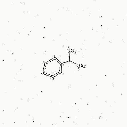 CC(=O)OC(c1ccccc1)[N+](=O)[O-]